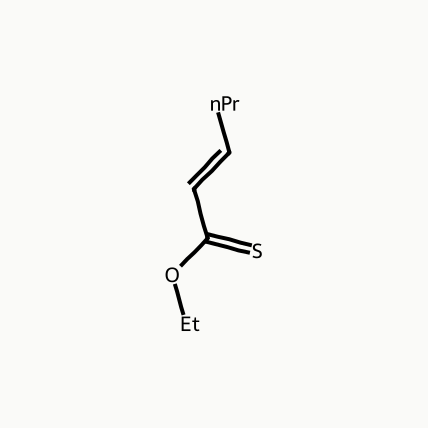 CCCC=CC(=S)OCC